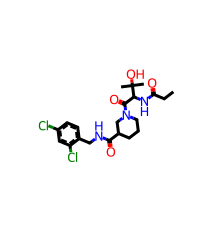 CCC(=O)NC(C(=O)N1CCCC(C(=O)NCc2ccc(Cl)cc2Cl)C1)C(C)(C)O